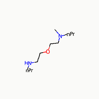 CCCNCCOCCN(C)CCC